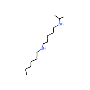 [CH2]CCCCCNCCCCCNC(C)C